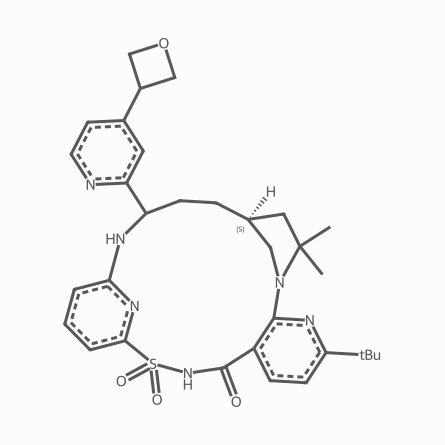 CC(C)(C)c1ccc2c(n1)N1C[C@@H](CCC(c3cc(C4COC4)ccn3)Nc3cccc(n3)S(=O)(=O)NC2=O)CC1(C)C